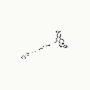 C[C@]12CCC3c4ccc(O)cc4C[C@@H](CCCCCCCCCCCCCCCCOCc4ccccc4)C3C1CC[C@@H]2O